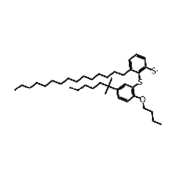 CCCCCCCCCCCCCCCc1cccc([S])c1Sc1cc(C(C)(C)CCCCC)ccc1OCCCC